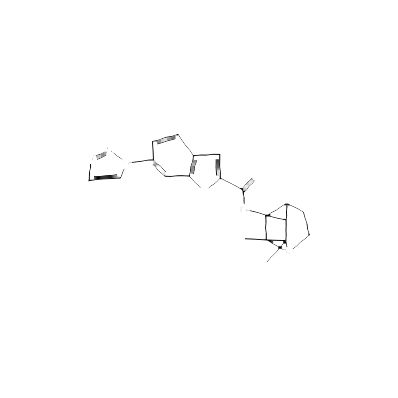 CC1(C)C(NC(=O)c2cc3ccc(-n4ccnn4)cc3s2)C2CCN1CC2